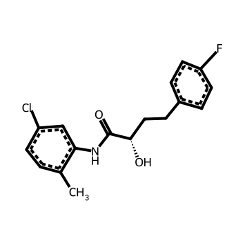 Cc1ccc(Cl)cc1NC(=O)[C@@H](O)CCc1ccc(F)cc1